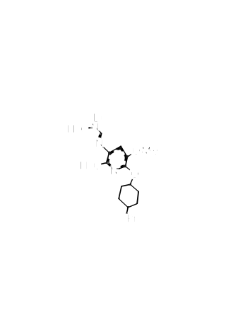 CCN(C)/C=N/c1cc(OC)c(OC2CCC(C(C)C)CC2)nc1C